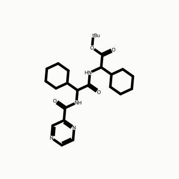 CC(C)(C)OC(=O)C(NC(=O)C(NC(=O)c1cnccn1)C1CCCCC1)C1CCCCC1